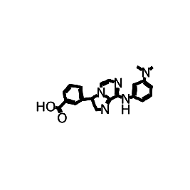 CN(C)c1cccc(NC2=NC=CN3C2=NCC3c2cccc(C(=O)O)c2)c1